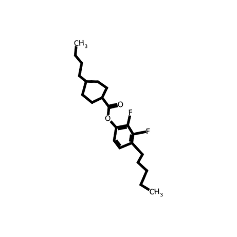 CCCCCc1ccc(OC(=O)C2CCC(CCCC)CC2)c(F)c1F